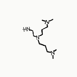 CN(C)CCCN(CC[NH])CCCN(C)C